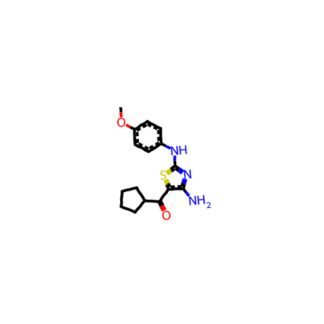 COc1ccc(Nc2nc(N)c(C(=O)C3CCCC3)s2)cc1